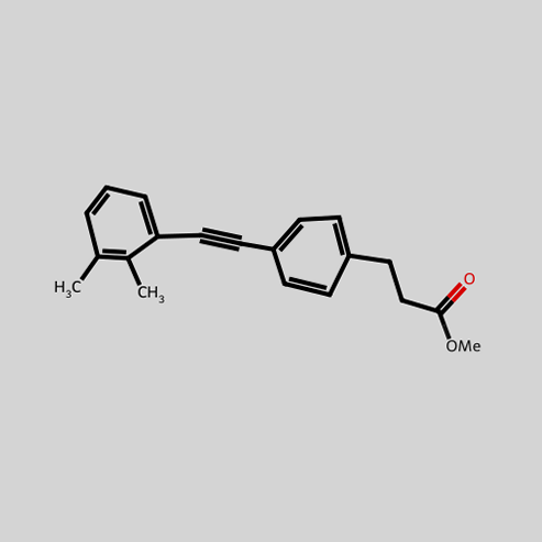 COC(=O)CCc1ccc(C#Cc2cccc(C)c2C)cc1